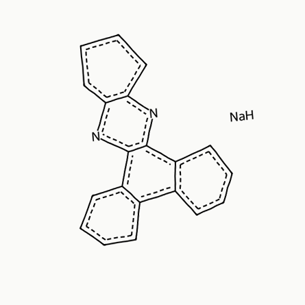 [NaH].c1ccc2nc3c4ccccc4c4ccccc4c3nc2c1